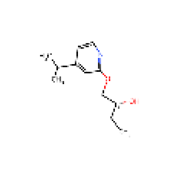 CC[C@@H](O)COc1cc(C(C)C)ccn1